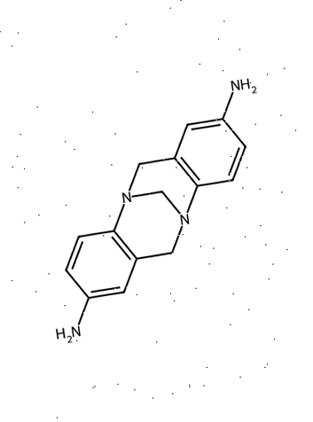 Nc1ccc2c(c1)CN1CN2Cc2cc(N)ccc21